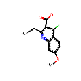 CCc1nc2cc(OC)ccc2c(Cl)c1C(=O)O